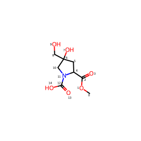 COC(=O)C1CC(O)(CO)CN1C(=O)O